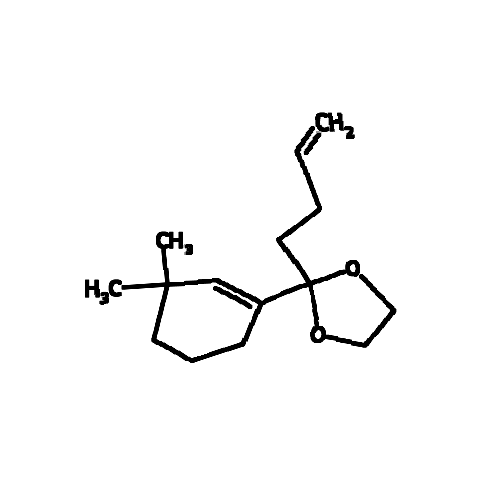 C=CCCC1(C2=CC(C)(C)CCC2)OCCO1